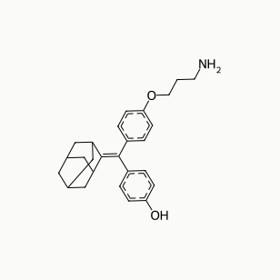 NCCCOc1ccc(C(=C2C3CC4CC(C3)CC2C4)c2ccc(O)cc2)cc1